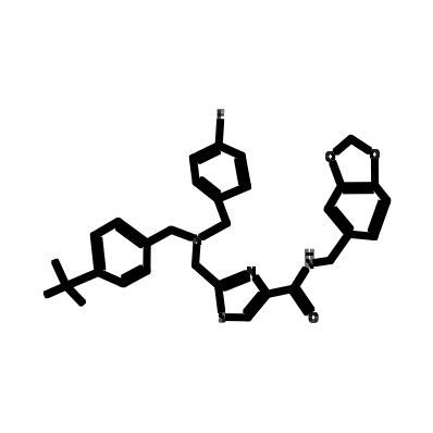 CC(C)(C)c1ccc(CN(Cc2ccc(F)cc2)Cc2nc(C(=O)NCc3ccc4c(c3)OCO4)cs2)cc1